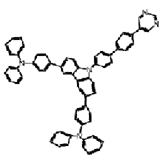 c1ccc(N(c2ccccc2)c2ccc(-c3ccc4c(c3)c3cc(-c5ccc(N(c6ccccc6)c6ccccc6)cc5)ccc3n4-c3ccc(-c4ccc(-c5cncnc5)cc4)cc3)cc2)cc1